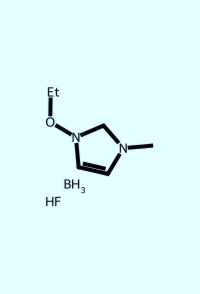 B.CCON1C=CN(C)C1.F